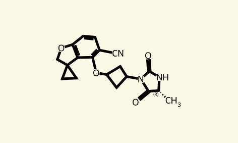 C[C@H]1NC(=O)N(C2CC(Oc3c(C#N)ccc4c3C3(CC3)CO4)C2)C1=O